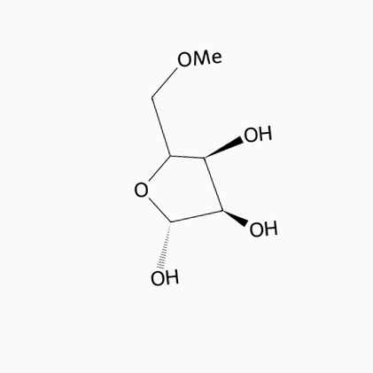 COCC1O[C@@H](O)[C@H](O)[C@@H]1O